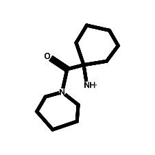 [NH]C1(C(=O)N2CCCCC2)CCCCC1